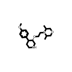 COc1ccc(C2CCNC[C@H]2OCCN2C(C)COCC2C)cc1